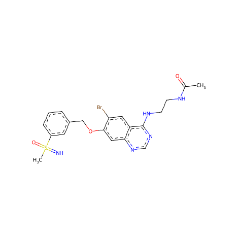 CC(=O)NCCNc1ncnc2cc(OCc3cccc(S(C)(=N)=O)c3)c(Br)cc12